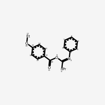 CCCC(=Nc1ccccc1)OC(=O)c1ccc(OCC)cc1